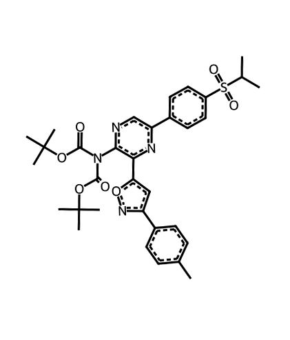 Cc1ccc(-c2cc(-c3nc(-c4ccc(S(=O)(=O)C(C)C)cc4)cnc3N(C(=O)OC(C)(C)C)C(=O)OC(C)(C)C)on2)cc1